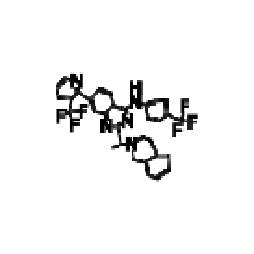 CC(c1nc(Nc2ccc(C(F)(F)F)cc2)c2ccc(-c3ncccc3C(F)(F)F)cc2n1)N1CCc2ccccc2C1